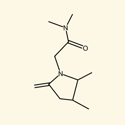 C=C1CC(C)C(C)N1CC(=O)N(C)C